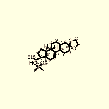 CCC(O)[C@@]1(O[Si](C)(C)C)CC[C@H]2[C@@H]3CCC4=C(CCC5(C4)OCCO5)C3=CC[C@@]21C